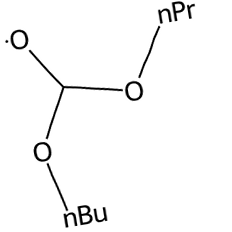 CCCCOC([O])OCCC